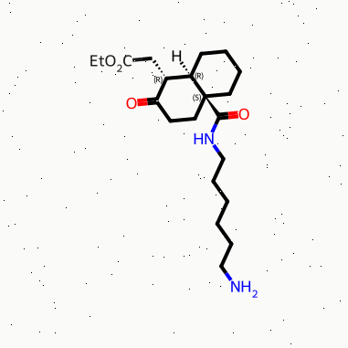 CCOC(=O)C[C@H]1C(=O)CC[C@@]2(C(=O)NCCCCCCN)CCCC[C@H]12